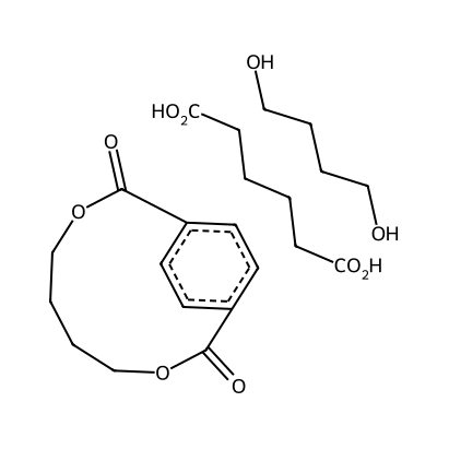 O=C(O)CCCCC(=O)O.O=C1OCCCCOC(=O)c2ccc1cc2.OCCCCO